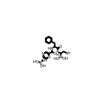 CC(C)CC(NC(=O)C(Cc1ccccc1)NC(=O)c1cnccn1)B(O)O.OB(O)O